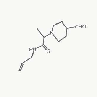 C=CCNC(=O)C(C)N1CCC(C=O)CC1